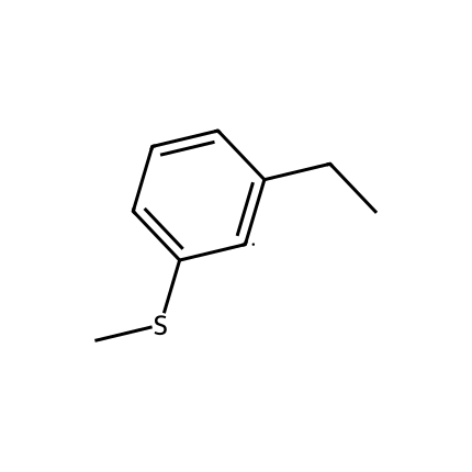 CCc1[c]c(SC)ccc1